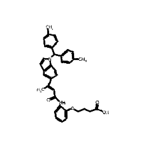 C/C(=C\C(=O)Nc1ccccc1OCCCC(=O)O)c1ccc2c(ccn2C(c2ccc(C)cc2)c2ccc(C)cc2)c1